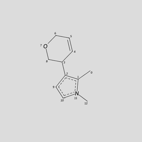 Cc1c(C2C=CCOC2)c[c]n1C